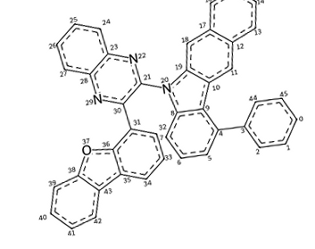 c1ccc(-c2cccc3c2c2cc4ccccc4cc2n3-c2nc3ccccc3nc2-c2cccc3c2oc2ccccc23)cc1